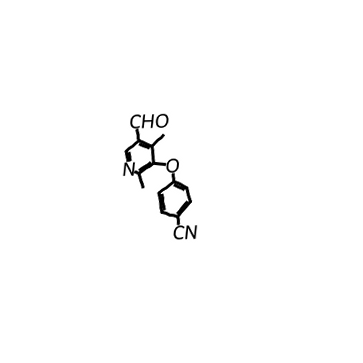 Cc1ncc(C=O)c(C)c1Oc1ccc(C#N)cc1